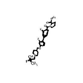 CC(C)(F)CN1CCC(COc2ccc(-c3ccc(C(=O)N4CCCC4C(N)=O)c(F)c3)c(F)c2)CC1